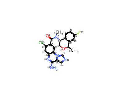 CC1OC[C@@H](N(C)C(=O)c2cc3c(cc2Cl)nc(N)c2cncn23)c2ccc(F)cc21